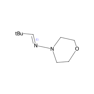 CC(C)(C)/C=N/N1CCOCC1